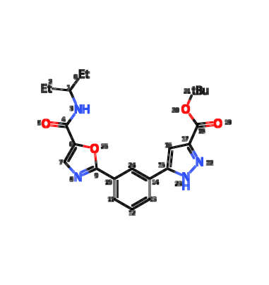 CCC(CC)NC(=O)c1cnc(-c2cccc(-c3cc(C(=O)OC(C)(C)C)n[nH]3)c2)o1